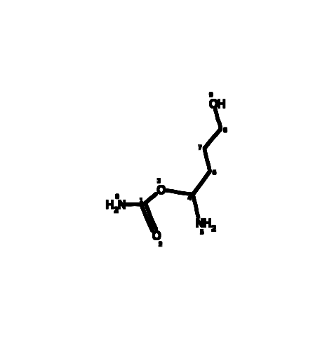 NC(=O)OC(N)CCCO